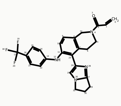 C=CC(=O)N1CCc2c(ccc(Nc3ccc(C(F)(F)F)cc3)c2-c2cn3c(n2)CCC3)C1